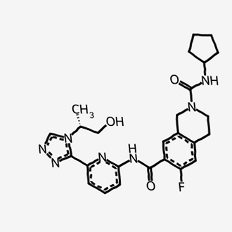 C[C@H](CO)n1cnnc1-c1cccc(NC(=O)c2cc3c(cc2F)CCN(C(=O)NC2CCCC2)C3)n1